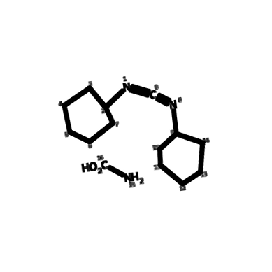 C(=NC1CCCCC1)=NC1CCCCC1.NC(=O)O